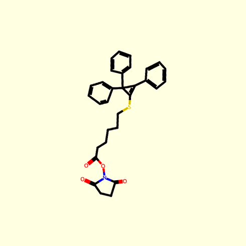 O=C(CCCCCSC1=C(c2ccccc2)C1(c1ccccc1)c1ccccc1)ON1C(=O)CCC1=O